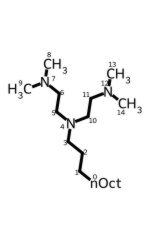 CCCCCCCCCCCN(CCN(C)C)CCN(C)C